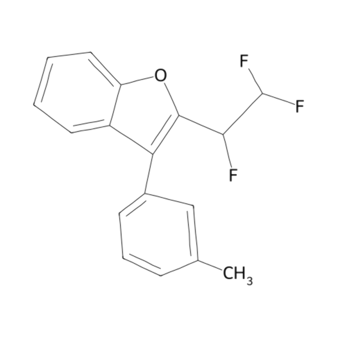 Cc1cccc(-c2c(C(F)C(F)F)oc3ccccc23)c1